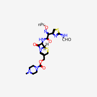 CCCON=C(C(=O)NC1C(=O)N2C=C(COC(=O)N3CCN(C)CC3)CS[C@@H]12)c1csc(NC=O)n1